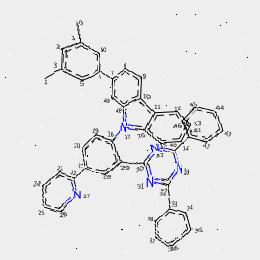 Cc1cc(C)cc(-c2ccc3c4ccccc4n(-c4ccc(-c5ccccn5)cc4-c4nc(-c5ccccc5)nc(-c5ccccc5)n4)c3c2)c1